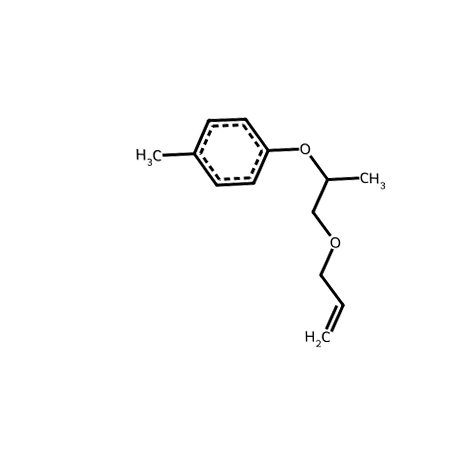 C=CCOCC(C)Oc1ccc(C)cc1